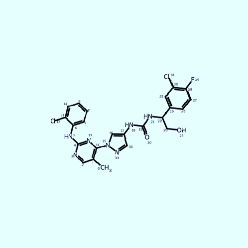 Cc1cnc(Nc2ccccc2Cl)nc1-n1cc(NC(=O)NC(CO)c2ccc(F)c(Cl)c2)cn1